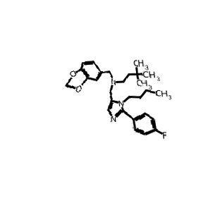 CCCCn1c(CN(CCC(C)(C)C)Cc2ccc3c(c2)OCO3)cnc1-c1ccc(F)cc1